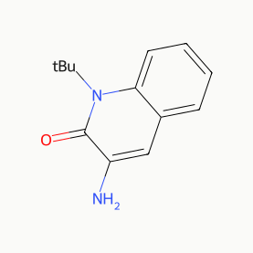 CC(C)(C)n1c(=O)c(N)cc2ccccc21